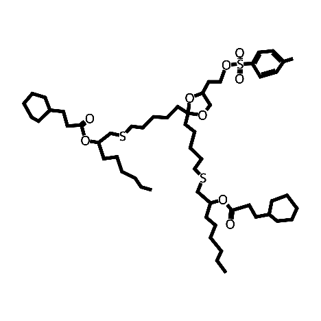 CCCCCCC(CSCCCCCC1(CCCCCSCC(CCCCCC)OC(=O)CCC2CCCCC2)OCC(CCOS(=O)(=O)c2ccc(C)cc2)O1)OC(=O)CCC1CCCCC1